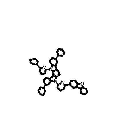 c1ccc(-c2ccc3c(c2)c2ccc4c(c5ccc(-c6ccccc6)cc5n4-c4cccc(-c5ccc6oc7ccccc7c6c5)n4)c2n3-c2cccc(-c3ccccc3)n2)cc1